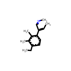 C/C=C(\C=N/C)c1ccc(CC)c(C)c1C